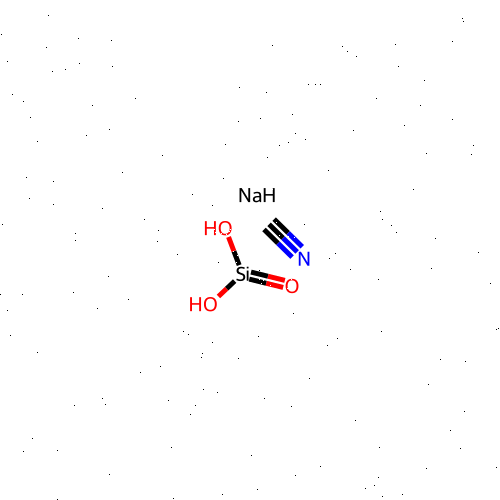 C#N.O=[Si](O)O.[NaH]